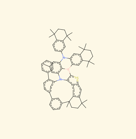 Cc1cc2c3c(c1)N1c4cc(ccc4-c4ccccc4)-c4cccc(c4)C4(C)CCC(C)(C)c5cc6sc(c1c6cc54)B3c1cc3c(cc1N2c1ccc2c(c1)C(C)(C)CCC2(C)C)C(C)(C)CCC3(C)C